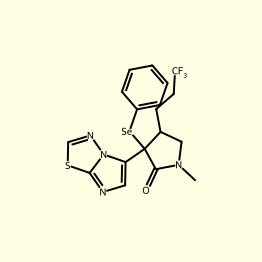 CN1CC(CCC(F)(F)F)C([Se]c2ccccc2)(c2cnc3scnn23)C1=O